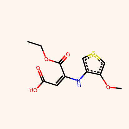 CCOC(=O)C(=CC(=O)O)Nc1cscc1OC